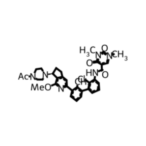 COc1nc(-c2cccc(-c3cccc(NC(=O)c4cn(C)c(=O)n(C)c4=O)c3Cl)c2C)cc2c1[C@@H](N1CCN(C(C)=O)CC1)CC2